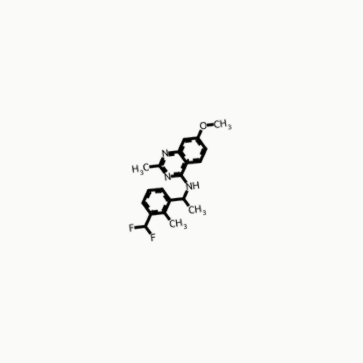 COc1ccc2c(NC(C)c3cccc(C(F)F)c3C)nc(C)nc2c1